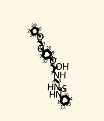 OC(CNCCNC(=S)Nc1ccccc1)COc1ccc(OCCOC2CCCC2)cc1